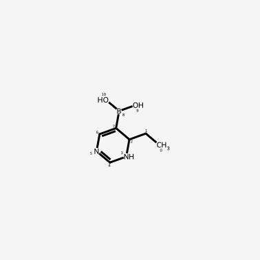 CCC1NC=NC=C1B(O)O